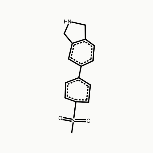 CS(=O)(=O)c1ccc(-c2ccc3c(c2)CNC3)cc1